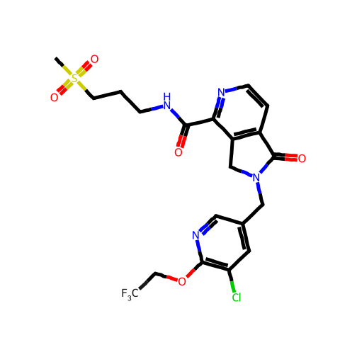 CS(=O)(=O)CCCNC(=O)c1nccc2c1CN(Cc1cnc(OCC(F)(F)F)c(Cl)c1)C2=O